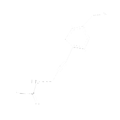 CC(C)Cc1ccc(C#CCNC(=O)C(C)C)cc1